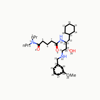 CCCN(CCC)C(=O)CCCC(=O)N[C@@H](CC1CCCCC1)[C@H](O)CNCc1cccc(OC)c1